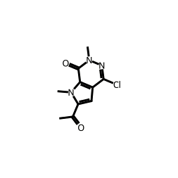 CC(=O)c1cc2c(Cl)nn(C)c(=O)c2n1C